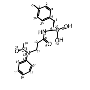 Cc1ccc(C[C@H](NC(=O)CCN(c2ccccc2)[S+](C)[O-])B(O)O)cc1